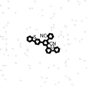 N#Cc1ccccc1-c1cc(-c2ccc3c(c2)sc2ccccc23)cc(-c2cccc3c2oc2ccccc23)c1C#N